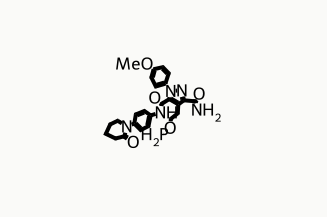 COc1ccc(-n2nc(C(N)=O)c(CCOP)c2C(=O)Nc2ccc(N3CCCCC3=O)cc2)cc1